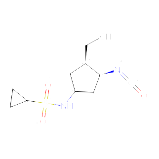 CC[C@@H]1CC(NS(=O)(=O)C2CC2)C[C@@H]1N=C=O